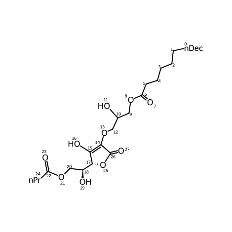 CCCCCCCCCCCCCCCC(=O)OCC(O)COC1=C(O)[C@@H]([C@@H](O)COC(=O)CCC)OC1=O